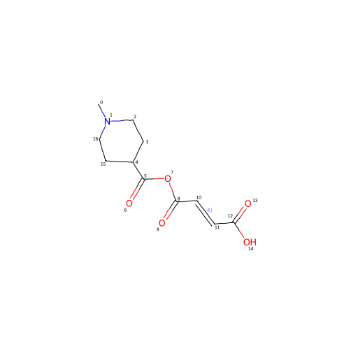 CN1CCC(C(=O)OC(=O)/C=C/C(=O)O)CC1